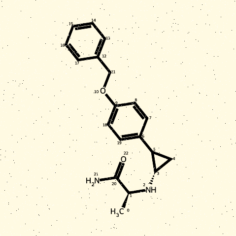 C[C@H](N[C@H]1CC1c1ccc(OCc2ccccc2)cc1)C(N)=O